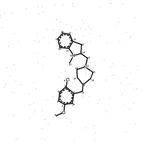 COc1ccc(Cl)c(CC2CCN(CC3Cc4ccccc4N3C)CC2)c1